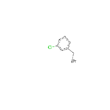 CC(C)Cc1[c]c(Cl)ccc1